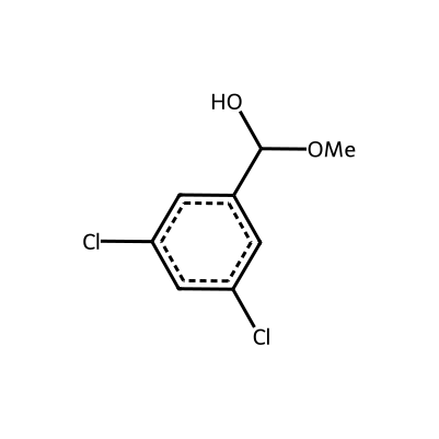 COC(O)c1cc(Cl)cc(Cl)c1